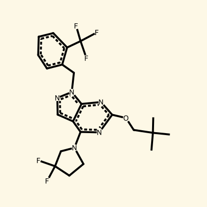 CC(C)(C)COc1nc(N2CCC(F)(F)C2)c2cnn(Cc3ccccc3C(F)(F)F)c2n1